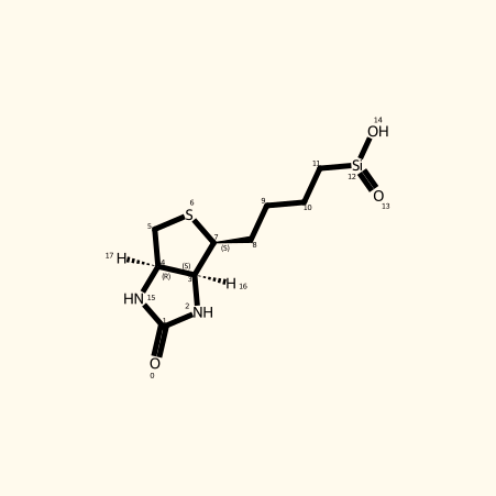 O=C1N[C@H]2[C@H](CS[C@H]2CCCC[Si](=O)O)N1